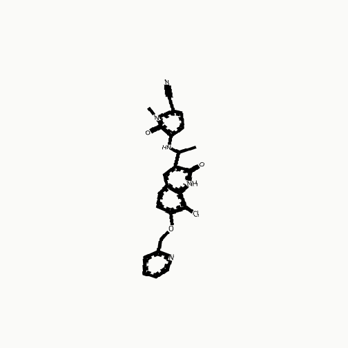 CC(Nc1ccc(C#N)n(C)c1=O)c1cc2ccc(OCc3ccccn3)c(Cl)c2[nH]c1=O